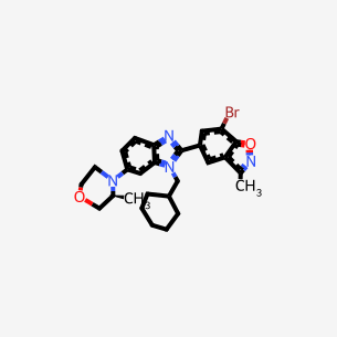 Cc1noc2c(Br)cc(-c3nc4ccc(N5CCOC[C@@H]5C)cc4n3CC3CCCCC3)cc12